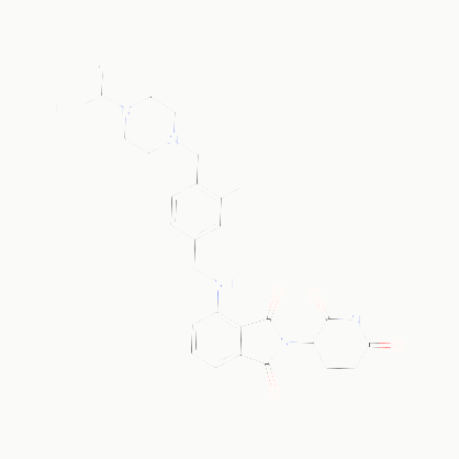 Cc1cc(CNc2cccc3c2C(=O)N(C2CCC(=O)NC2=O)C3=O)ccc1CN1CCN(C(C)C)CC1